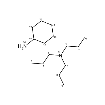 CCCN(CCC)CCC.NC1CCCCC1